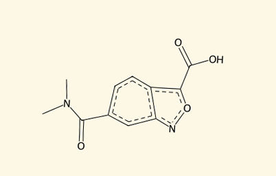 CN(C)C(=O)c1ccc2c(C(=O)O)onc2c1